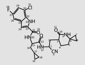 N#CC(CC1CCC2(CC2)NC1=O)NC(=O)C(CC1CC1)NC(=O)c1cc2cc(F)cc(Cl)c2[nH]1